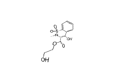 CN1C(C(=O)OCCO)=C(O)c2ccccc2S1(=O)=O